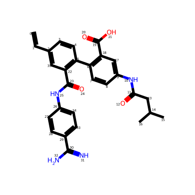 C=Cc1ccc(-c2ccc(NC(=O)CC(C)C)cc2C(=O)O)c(C(=O)Nc2ccc(C(=N)N)cc2)c1